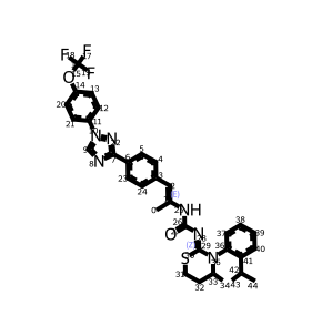 C/C(=C\c1ccc(-c2ncn(-c3ccc(OC(F)(F)F)cc3)n2)cc1)NC(=O)/N=C1\SCCC(C)N1c1ccccc1C(C)C